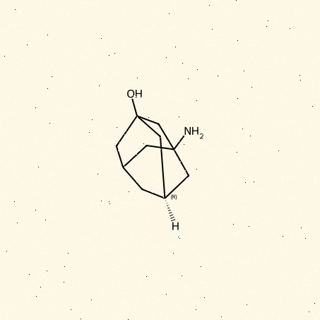 NC12CC3C[C@H](C1)CC(O)(C3)C2